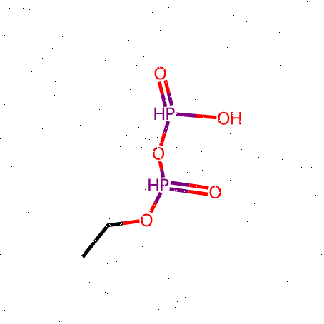 CCO[PH](=O)O[PH](=O)O